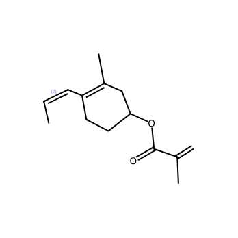 C=C(C)C(=O)OC1CCC(/C=C\C)=C(C)C1